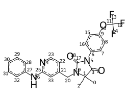 CC1(C)C(=O)N(c2ccc(OC(F)(F)F)cc2)C(=O)N1Cc1ccnc(Nc2ccccc2)c1